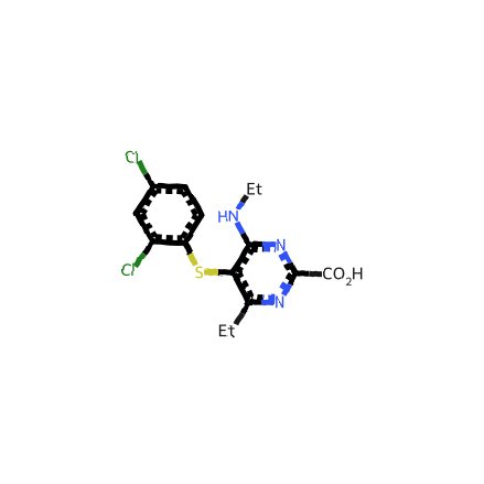 CCNc1nc(C(=O)O)nc(CC)c1Sc1ccc(Cl)cc1Cl